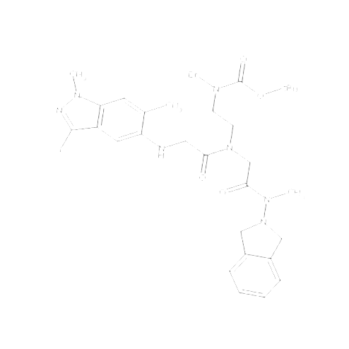 CCN(CCN(CC(=O)N(C)N1Cc2ccccc2C1)C(=O)CNc1cc2c(I)nn(C)c2cc1C)C(=O)OC(C)(C)C